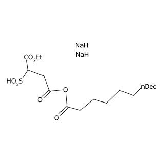 CCCCCCCCCCCCCCCC(=O)OC(=O)CC(C(=O)OCC)S(=O)(=O)O.[NaH].[NaH]